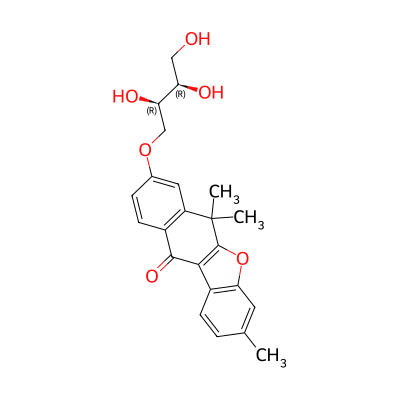 Cc1ccc2c3c(oc2c1)C(C)(C)c1cc(OC[C@@H](O)[C@H](O)CO)ccc1C3=O